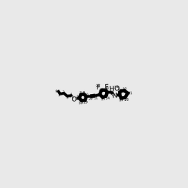 CCCCCOc1ccc(C#Cc2ccc(C=Nc3ccccc3O)c(F)c2F)cc1